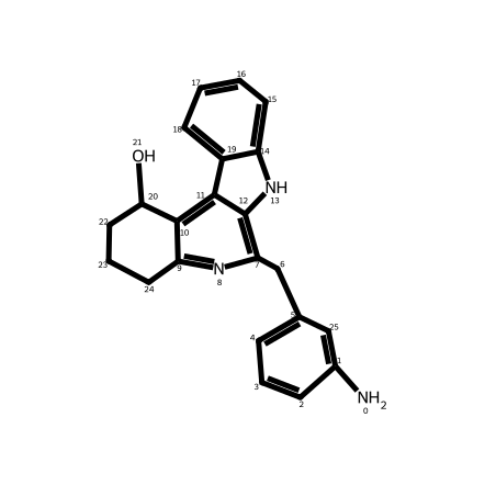 Nc1cccc(Cc2nc3c(c4c2[nH]c2ccccc24)C(O)CCC3)c1